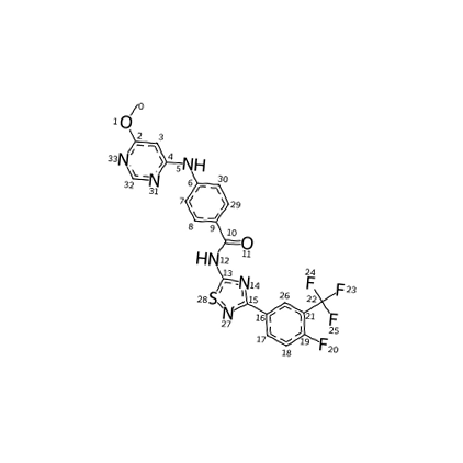 COc1cc(Nc2ccc(C(=O)Nc3nc(-c4ccc(F)c(C(F)(F)F)c4)ns3)cc2)ncn1